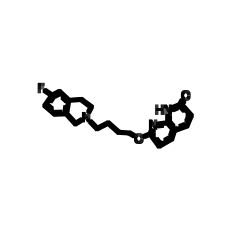 O=c1ccc2ccc(OCCCCN3CCc4cc(F)ccc4C3)nc2[nH]1